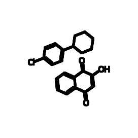 Clc1ccc(C2CCCCC2)cc1.O=C1C=C(O)C(=O)c2ccccc21